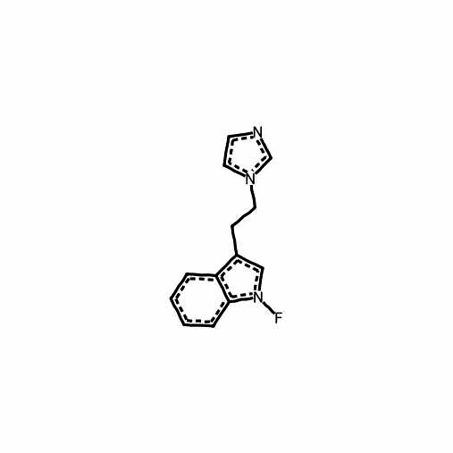 Fn1cc(CCn2ccnc2)c2ccccc21